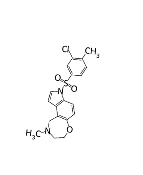 Cc1ccc(S(=O)(=O)n2ccc3c4c(ccc32)OCCN(C)C4)cc1Cl